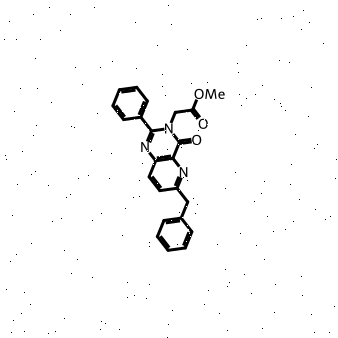 COC(=O)Cn1c(-c2ccccc2)nc2ccc(Cc3ccccc3)nc2c1=O